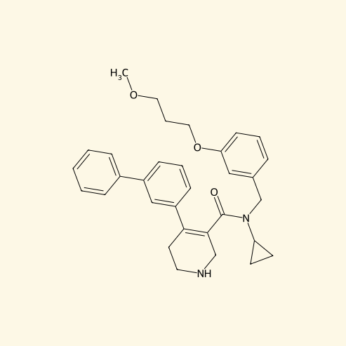 COCCCOc1cccc(CN(C(=O)C2=C(c3cccc(-c4ccccc4)c3)CCNC2)C2CC2)c1